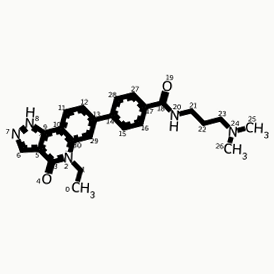 CCn1c(=O)c2cn[nH]c2c2ccc(-c3ccc(C(=O)NCCCN(C)C)cc3)cc21